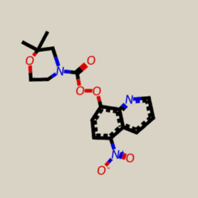 CC1(C)CN(C(=O)OOc2ccc([N+](=O)[O-])c3cccnc23)CCO1